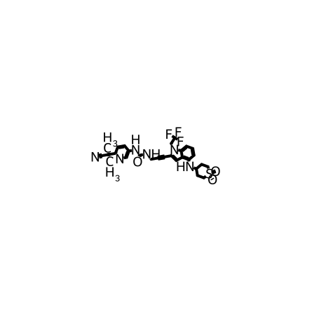 CC(C)(C#N)c1ccc(NC(=O)NCC#Cc2cc3c(NC4CCS(=O)(=O)CC4)cccc3n2CC(F)(F)F)cn1